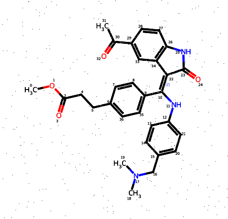 COC(=O)CCc1ccc(/C(Nc2ccc(CN(C)C)cc2)=C2/C(=O)Nc3ccc(C(C)=O)cc32)cc1